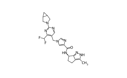 Cc1[nH]nc2c1CC[C@H]2NC(=O)c1cn(Cc2cnc(N3CC4CC4C3)nc2C(F)F)cn1